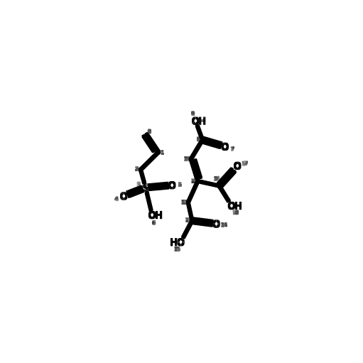 C=CCS(=O)(=O)O.O=C(O)C=C(CC(=O)O)C(=O)O